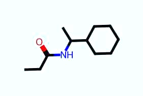 CCC(=O)NC(C)C1CCCCC1